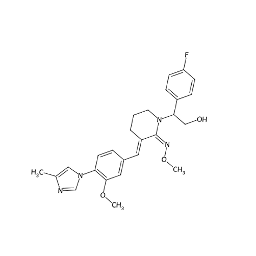 CO/N=C1\C(=C\c2ccc(-n3cnc(C)c3)c(OC)c2)CCCN1C(CO)c1ccc(F)cc1